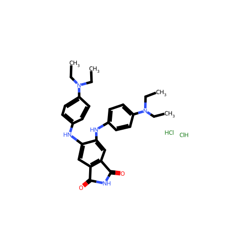 CCN(CC)c1ccc(Nc2cc3c(cc2Nc2ccc(N(CC)CC)cc2)C(=O)NC3=O)cc1.Cl.Cl